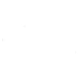 CC=C(C)CCC1=CCC(C=O)CC1